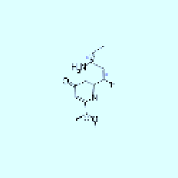 C/C=C(N)\C=C(\F)C1=NC([C@H](C)OC)=CC(=O)C1